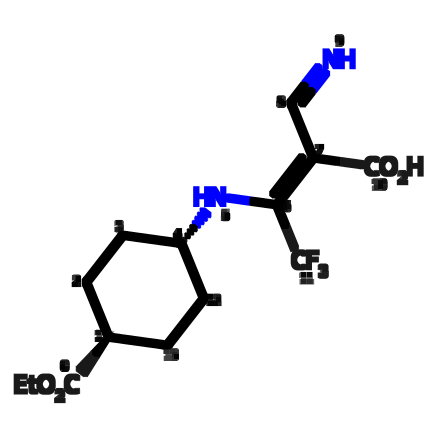 CCOC(=O)[C@H]1CC[C@H](N/C(=C(\C=N)C(=O)O)C(F)(F)F)CC1